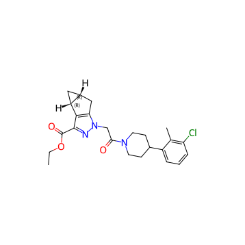 CCOC(=O)c1nn(CC(=O)N2CCC(c3cccc(Cl)c3C)CC2)c2c1[C@@H]1C[C@@H]1C2